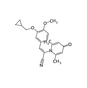 COc1ccc(/C=C(/C#N)n2c(C)cc(=O)cc2C)cc1OCC1CC1